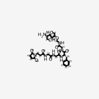 N[C@H]1CO[C@H]2[C@@H]1OC[C@H]2OCNC(=O)CNC(=O)[C@H](Cc1ccccc1)NC(=O)CNC(=O)CNC(=O)CCN1C(=O)C=CC1=O